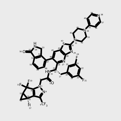 O=C(Cn1nc(C(F)(F)F)c2c1C(F)(F)C1C[C@H]21)N[C@@H](Cc1cc(F)cc(F)c1)c1nc2nc(N3CCN(c4ccncc4)CC3)sc2cc1-c1cccc2c1CNC2=O